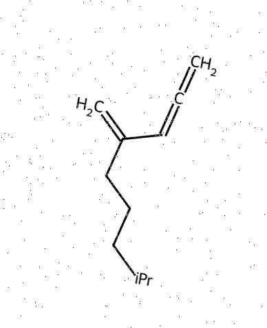 C=C=CC(=C)CCCC(C)C